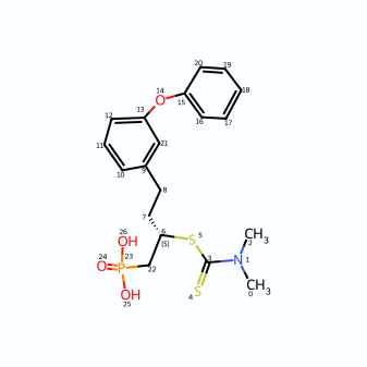 CN(C)C(=S)S[C@@H](CCc1cccc(Oc2ccccc2)c1)CP(=O)(O)O